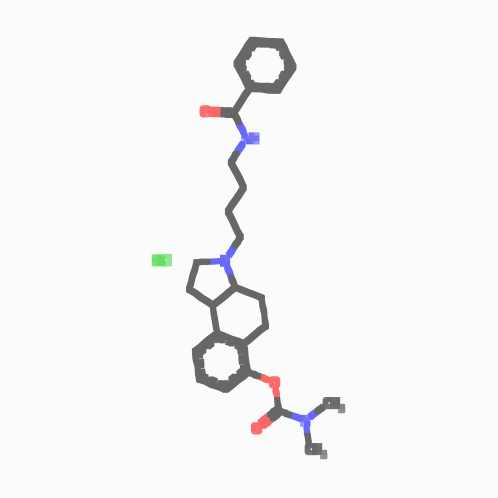 CN(C)C(=O)Oc1cccc2c1CCC1C2CCN1CCCCNC(=O)c1ccccc1.Cl